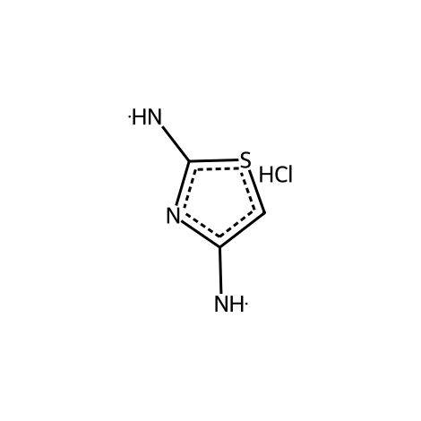 Cl.[NH]c1csc([NH])n1